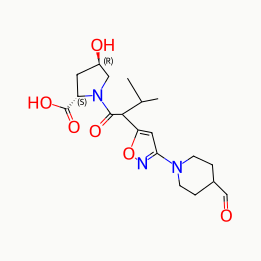 CC(C)C(C(=O)N1C[C@H](O)C[C@H]1C(=O)O)c1cc(N2CCC(C=O)CC2)no1